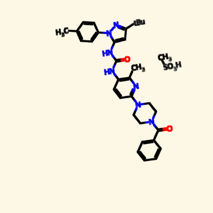 CS(=O)(=O)O.Cc1ccc(-n2nc(C(C)(C)C)cc2NC(=O)Nc2ccc(N3CCN(C(=O)c4ccccc4)CC3)nc2C)cc1